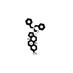 C[C@]12CC[C@H]3[C@@H](CC=C4C=C(C#N)CC[C@@]43C)[C@@H]1CC[C@@H]2C(=O)N(Cc1ccccc1)Cc1ccccc1